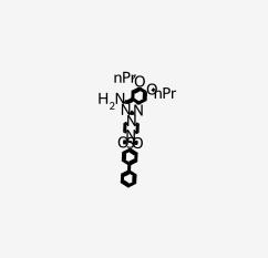 CCCOc1cc2nc(N3CCN(S(=O)(=O)c4ccc(-c5ccccc5)cc4)CC3)nc(N)c2cc1OCCC